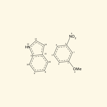 COc1cccc([N+](=O)[O-])c1.c1ccc2[nH]ccc2c1